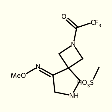 CON=C1CNCC12CN(C(=O)C(F)(F)F)C2.CS(=O)(=O)O